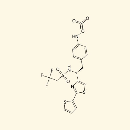 O=[SH](=O)ONc1ccc(C[C@H](NS(=O)(=O)CC(F)(F)F)c2csc(-c3cccs3)n2)cc1